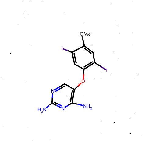 COc1cc(I)c(Oc2cnc(N)nc2N)cc1I